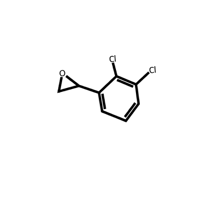 Clc1cccc(C2CO2)c1Cl